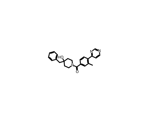 Cc1cc(C(=O)N2CCC(O)(Cc3ccccc3)CC2)ccc1-c1ccncn1